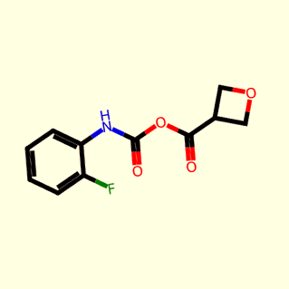 O=C(Nc1ccccc1F)OC(=O)C1COC1